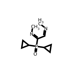 C/N=C\C(=N/C)P(=O)(C1CC1)C1CC1